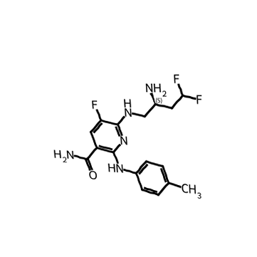 Cc1ccc(Nc2nc(NC[C@@H](N)CC(F)F)c(F)cc2C(N)=O)cc1